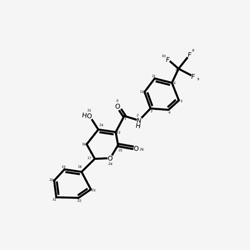 O=C(Nc1ccc(C(F)(F)F)cc1)C1=C(O)CC(c2ccccc2)OC1=O